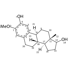 COc1cc2c(cc1O)[C@H]1CC[C@]3(C)C(O)CC[C@H]3[C@@H]1CC2